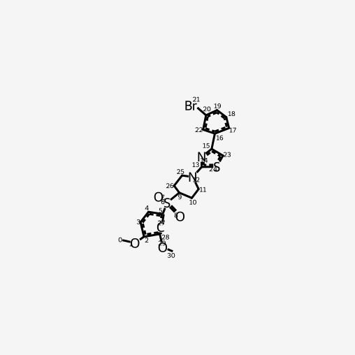 COc1ccc(S(=O)(=O)C2CCN(c3nc(-c4cccc(Br)c4)cs3)CC2)cc1OC